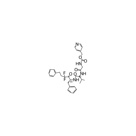 CC(C)[C@H](NC(=O)CNC(=O)OCc1ccncc1)C(=O)N[C@@H](Cc1ccccc1)C(=O)C(F)(F)CCc1ccccc1